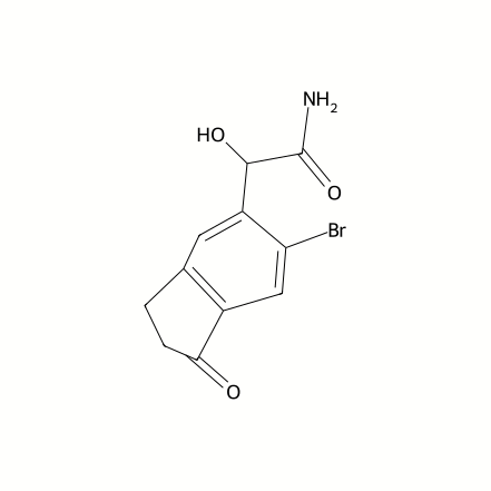 NC(=O)C(O)c1cc2c(cc1Br)C(=O)CC2